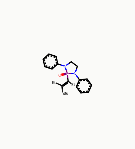 CCCC/C(CC)=C(\CC)P1(=O)N(c2ccccc2)CCN1c1ccccc1